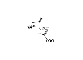 C=C(C)C(=O)[O-].C=C(C)C(=O)[O-].[Cd+2]